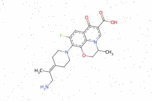 CC(CN)=C1CCN(c2c(F)cc3c(=O)c(C(=O)O)cn4c3c2OCC4C)CC1